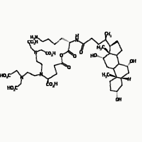 C[C@H](CCC(=O)N[C@@H](CCCCN)C(=O)OC(=O)CC[C@@H](C(=O)O)N(CCN(CC(=O)O)CC(=O)O)CCN(CC(=O)O)CC(=O)O)[C@H]1CCC2C3C(C[C@H](O)[C@@]21C)[C@@]1(C)CC[C@@H](O)C[C@H]1C[C@H]3O